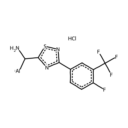 Cl.N[CH]([Al])c1nc(-c2ccc(F)c(C(F)(F)F)c2)ns1